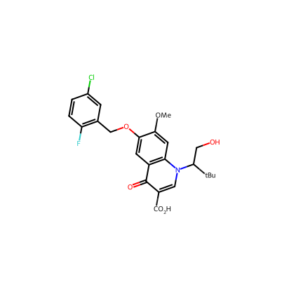 COc1cc2c(cc1OCc1cc(Cl)ccc1F)c(=O)c(C(=O)O)cn2C(CO)C(C)(C)C